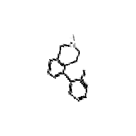 Cc1ccccc1-c1cccc2c1CCNC2